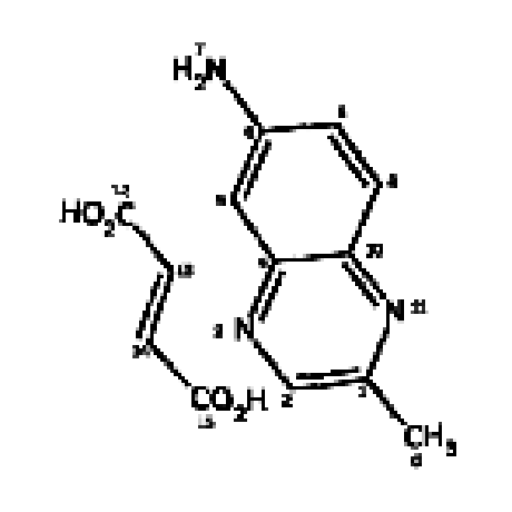 Cc1cnc2cc(N)ccc2n1.O=C(O)C=CC(=O)O